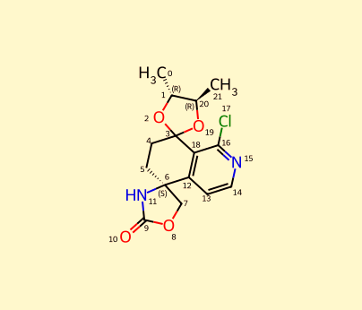 C[C@H]1OC2(CC[C@@]3(COC(=O)N3)c3ccnc(Cl)c32)O[C@@H]1C